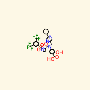 O=C(O)c1ccc(N(Cc2cnc(C3CCCCC3)cn2)C(=O)[C@H]2CCN2S(=O)(=O)c2cc(C(F)(F)F)cc(C(F)(F)F)c2)cc1O